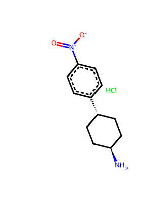 Cl.N[C@H]1CC[C@H](c2ccc([N+](=O)[O-])cc2)CC1